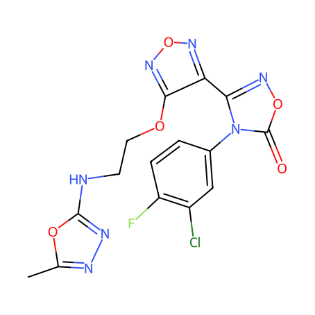 Cc1nnc(NCCOc2nonc2-c2noc(=O)n2-c2ccc(F)c(Cl)c2)o1